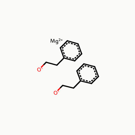 [Mg+2].[O-]CCc1ccccc1.[O-]CCc1ccccc1